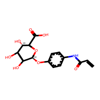 C=CC(=O)Nc1ccc(O[C@@H]2OC(C(=O)O)[C@@H](O)C(O)C2O)cc1